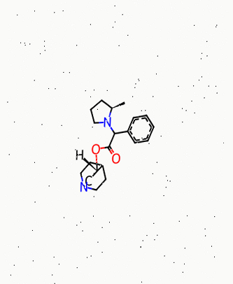 C[C@@H]1CCCN1C(C(=O)O[C@H]1CN2CCC1CC2)c1ccccc1